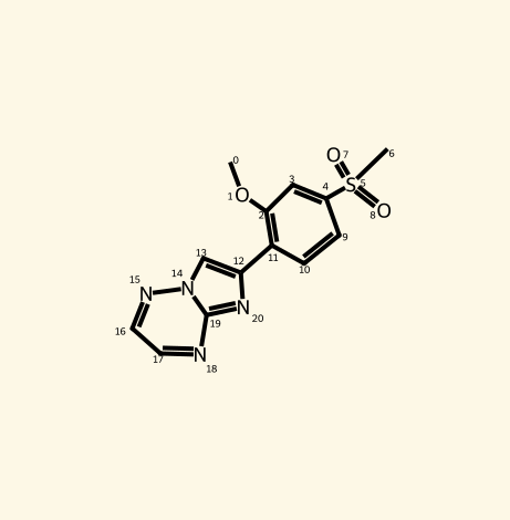 COc1cc(S(C)(=O)=O)ccc1-c1cn2nccnc2n1